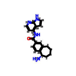 N[C@H]1CCCCc2cc(C(=O)Nc3ccnc4[nH]ccc34)ccc21